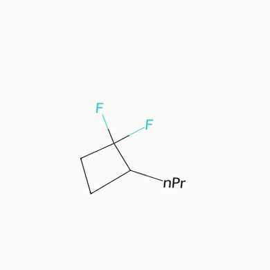 CCCC1CCC1(F)F